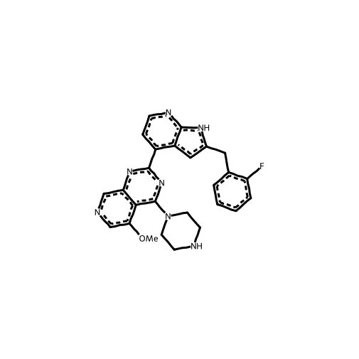 COc1cncc2nc(-c3ccnc4[nH]c(Cc5ccccc5F)cc34)nc(N3CCNCC3)c12